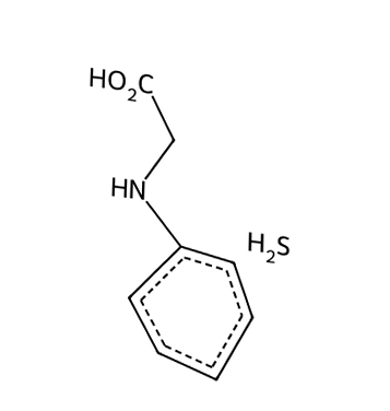 O=C(O)CNc1ccccc1.S